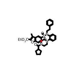 CCOC(=O)c1oc2ccc(S(=O)(=O)N(CCc3ccccc3)c3ccccc3N3CCN(C(=O)C4CCCC4)CC3)cc2c1C